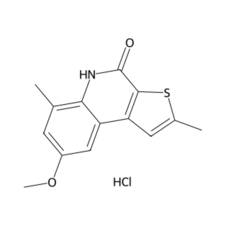 COc1cc(C)c2[nH]c(=O)c3sc(C)cc3c2c1.Cl